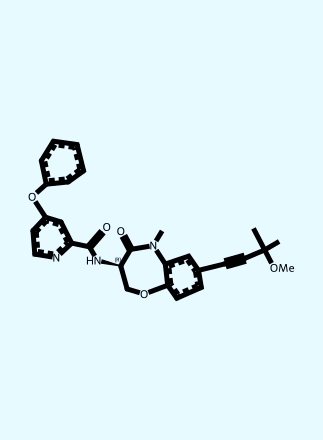 COC(C)(C)C#Cc1ccc2c(c1)N(C)C(=O)[C@H](NC(=O)c1cc(Oc3ccccc3)ccn1)CO2